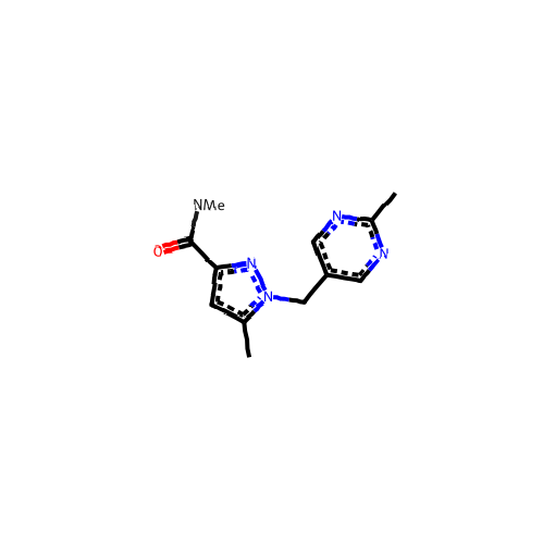 CNC(=O)c1cc(C)n(Cc2cnc(C)nc2)n1